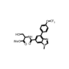 COC(=O)C(CO)NC(=O)c1cc(-c2ccc(OC(F)(F)F)cc2)c2ncn(C)c2c1